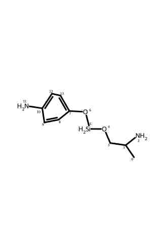 CC(N)CO[SiH2]Oc1ccc(N)cc1